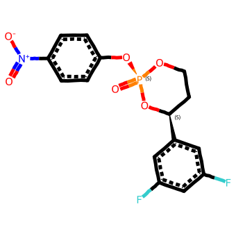 O=[N+]([O-])c1ccc(O[P@@]2(=O)OCC[C@@H](c3cc(F)cc(F)c3)O2)cc1